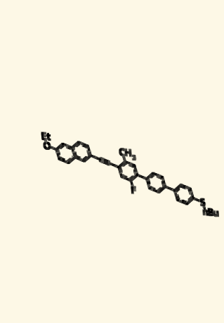 CCCCSc1ccc(-c2ccc(-c3cc(C)c(C#Cc4ccc5cc(OCC)ccc5c4)cc3F)cc2)cc1